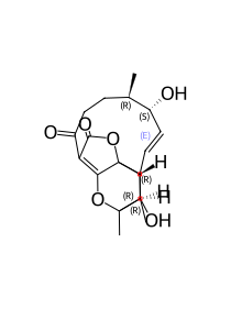 C[C@@H]1CCC(=O)C2=C3OC4(C)[C@H](C)CC3(OC2=O)[C@H](/C=C/[C@H]1O)[C@H]4O